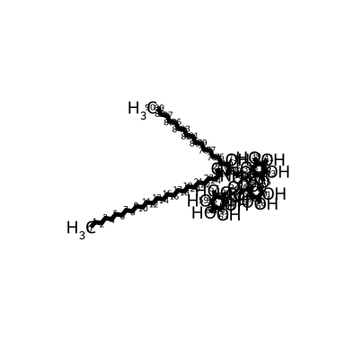 CCCCCCCCCCCCCCCCCCCCCCCCCC(=O)N[C@@H](COP(=O)(O)O[C@H]1C(O)C(O)C(O)[C@@H](O)C1O[C@H]1O[C@H](COP(=O)(O)OC2C(O)C(O)C(O)[C@@H](O)C2O)[C@@H](O)C(O)C1O)[C@H](O)CCCCCCCCCCCCCCCCC